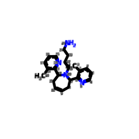 Cc1cccnc1C1CC=CCC(c2ncccc2C)N1CCCCN